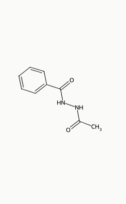 CC(=O)NNC(=O)c1ccccc1